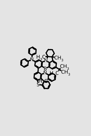 Cc1ccccc1N1B2c3cc(C(C)(C)C)cc4c3N(c3cc(N(c5ccccc5)c5ccccc5)cc(c32)-c2ccc3sc5ccccc5c3c21)C1(C)CCCCC41C